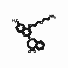 Cc1ccc2nc(N3CCS(=O)(=O)c4ccccc4C3)cc(NCCOCCN)c2c1